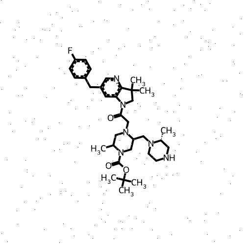 CC1CN(CC(=O)N2CC(C)(C)c3ncc(Cc4ccc(F)cc4)cc32)C(CN2CCNC[C@H]2C)CN1C(=O)OC(C)(C)C